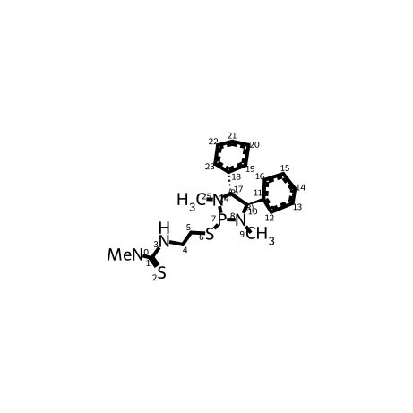 CNC(=S)NCCSP1N(C)[C@H](c2ccccc2)[C@@H](c2ccccc2)N1C